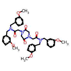 COc1cccc(CN(Cc2cccc(OC)c2)C(=O)CN2CC(=O)N(CC(=O)N(Cc3cccc(OC)c3)Cc3cccc(OC)c3)CC2=O)c1